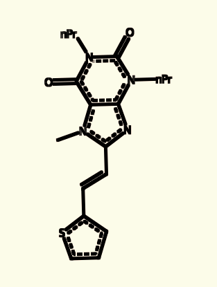 CCCn1c(=O)c2c(nc(C=Cc3cccs3)n2C)n(CCC)c1=O